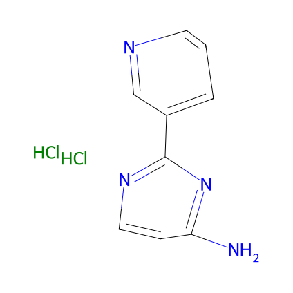 Cl.Cl.Nc1ccnc(-c2cccnc2)n1